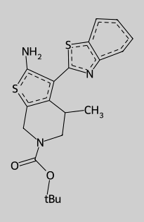 CC1CN(C(=O)OC(C)(C)C)Cc2sc(N)c(-c3nc4ccccc4s3)c21